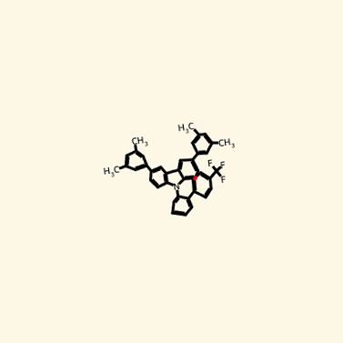 Cc1cc(C)cc(-c2ccc3c(c2)c2cc(-c4cc(C)cc(C)c4)ccc2n3-c2ccccc2-c2ccc(C(F)(F)F)cc2)c1